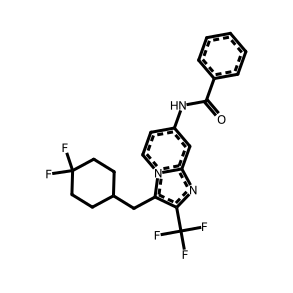 O=C(Nc1ccn2c(CC3CCC(F)(F)CC3)c(C(F)(F)F)nc2c1)c1ccccc1